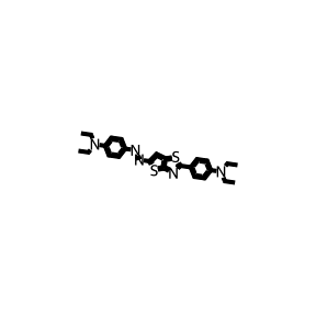 CCN(CC)c1ccc(N=Nc2cc3sc(-c4ccc(N(CC)CC)cc4)nc3s2)cc1